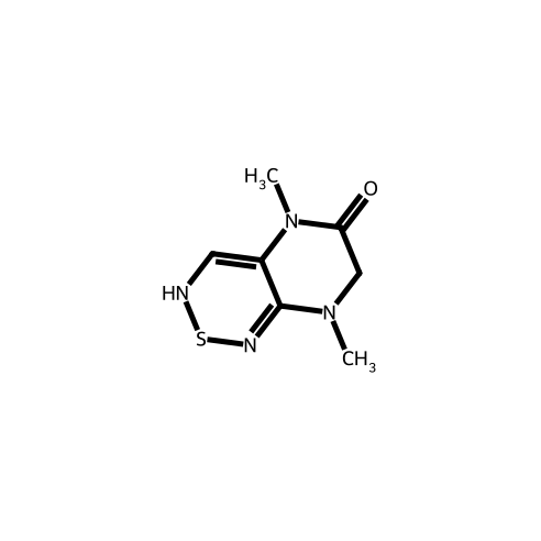 CN1CC(=O)N(C)C2=CNSN=C21